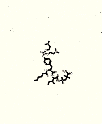 CCCCCC(=O)NC(Cc1ccc(OP(=O)(OCCN(C)C)OCCN(C)C)cc1)C(=O)NC(C(=O)NC(C)(C)CC(C)(C)C(N)=O)C(C)CC